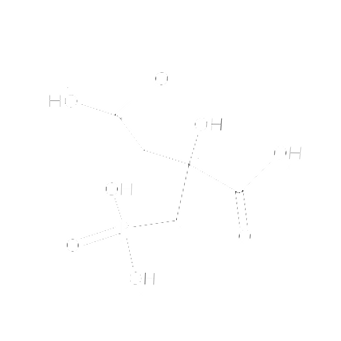 O=C(O)CC(O)(CP(=O)(O)O)C(=O)O